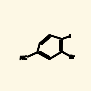 N#Cc1ccc(I)c(Br)c1